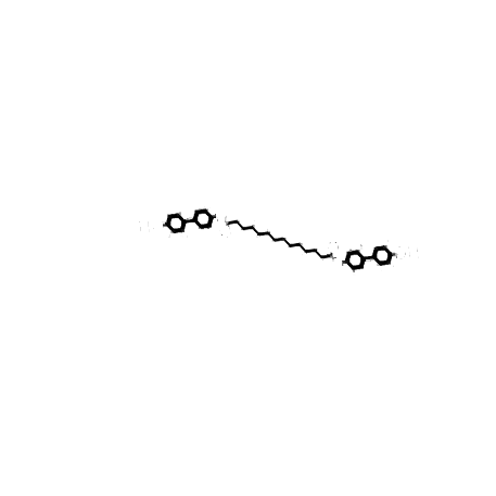 O=C(CCCCCCCCCCCCC(=O)Oc1ccc(-c2ccc(O)cc2)cc1)Oc1ccc(-c2ccc(O)cc2)cc1